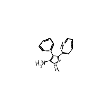 Nc1[nH]nc(-c2ccccn2)c1-c1ccccc1